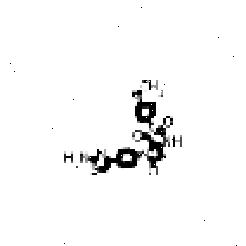 COc1ccc(-n2c(=O)[nH]c3cc(Cl)n(-c4ccc(-c5csc(N)n5)cc4)c3c2=O)cc1